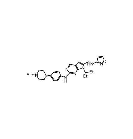 CCC(CC)n1c(CNc2ccon2)cc2cnc(Nc3ccc(N4CCN(C(C)=O)CC4)cc3)nc21